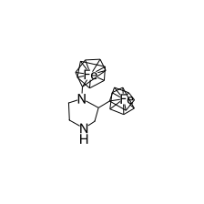 C1CN([C]23[CH]4[CH]5[CH]6[CH]2[Fe]56432789[CH]3[CH]2[CH]7[CH]8[CH]39)C([C]23[CH]4[CH]5[CH]6[CH]2[Fe]56432789[CH]3[CH]2[CH]7[CH]8[CH]39)CN1